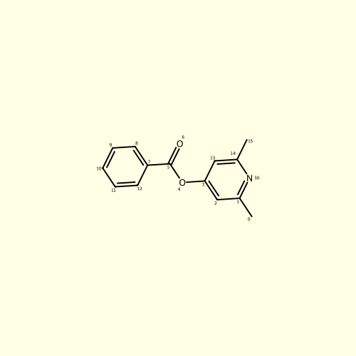 Cc1cc(OC(=O)c2ccccc2)cc(C)n1